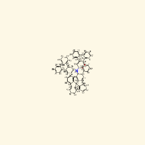 c1ccc(-c2cc3c(cc2N(c2ccc4c5ccccc5c5ccccc5c4c2)c2ccc4c5ccccc5c5ccccc5c4c2)C2(c4ccccc4-c4ccccc42)c2ccccc2-3)cc1